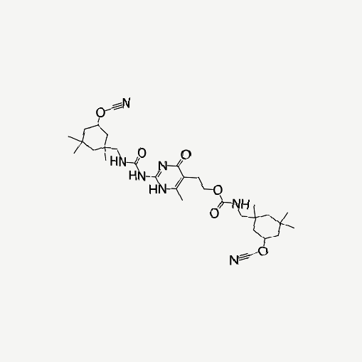 Cc1[nH]c(NC(=O)NCC2(C)CC(OC#N)CC(C)(C)C2)nc(=O)c1CCOC(=O)NCC1(C)CC(OC#N)CC(C)(C)C1